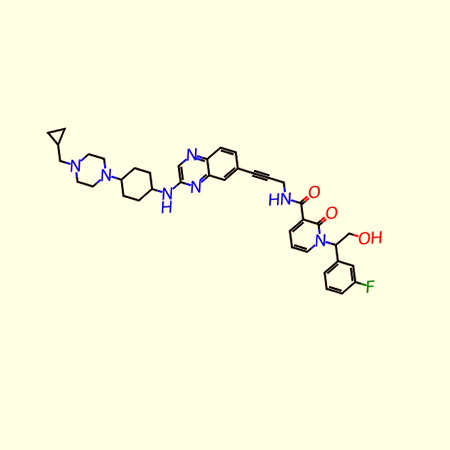 O=C(NCC#Cc1ccc2ncc(NC3CCC(N4CCN(CC5CC5)CC4)CC3)nc2c1)c1cccn(C(CO)c2cccc(F)c2)c1=O